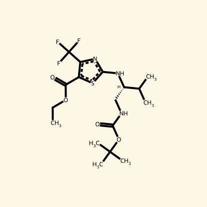 CCOC(=O)c1sc(N[C@@H](CNC(=O)OC(C)(C)C)C(C)C)nc1C(F)(F)F